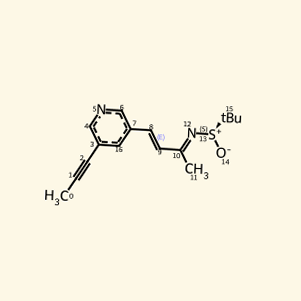 CC#Cc1cncc(/C=C/C(C)=N[S@+]([O-])C(C)(C)C)c1